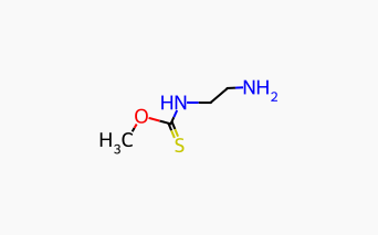 COC(=S)NCCN